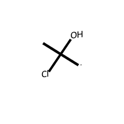 [CH2]C(C)(O)Cl